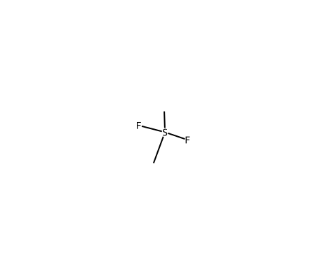 CS(C)(F)F